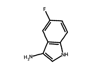 Nc1c[nH]c2ccc(F)cc12